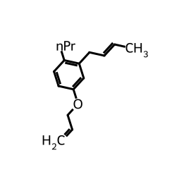 C=CCOc1ccc(CCC)c(CC=CC)c1